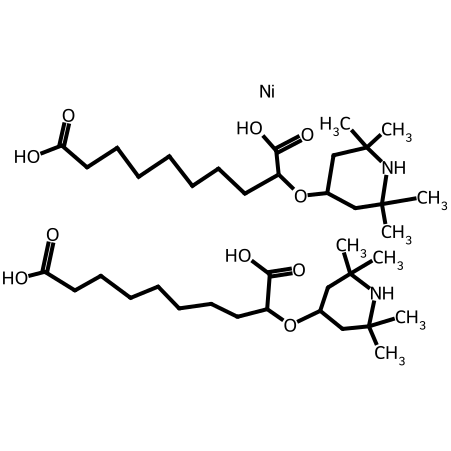 CC1(C)CC(OC(CCCCCCCC(=O)O)C(=O)O)CC(C)(C)N1.CC1(C)CC(OC(CCCCCCCC(=O)O)C(=O)O)CC(C)(C)N1.[Ni]